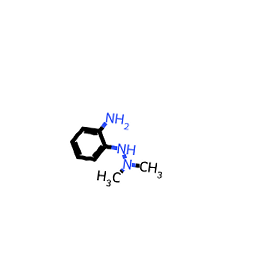 CN(C)Nc1ccccc1N